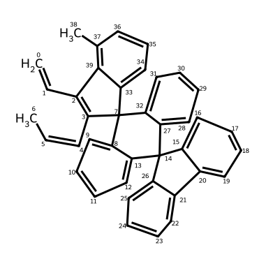 C=CC1=C(/C=C\C)C2(c3ccccc3C3(c4ccccc4-c4ccccc43)c3ccccc32)c2cccc(C)c21